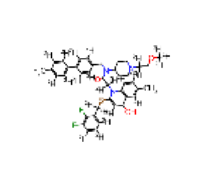 [2H]C1=C(SC([2H])([2H])c2c([2H])c([2H])c([2H])c(F)c2F)N(C([2H])([2H])C(=O)N(Cc2c([2H])c([2H])c(-c3c([2H])c([2H])c(C(F)(F)F)c([2H])c3[2H])c([2H])c2[2H])C2CCN(C([2H])([2H])COC([2H])([2H])[2H])CC2)c2c([2H])c([2H])c(C)c([2H])c2C1O